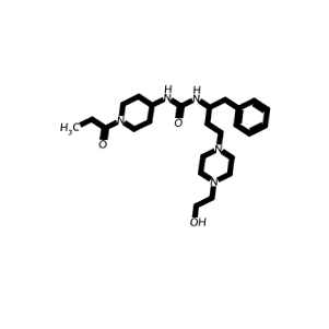 CCC(=O)N1CCC(NC(=O)NC(CCN2CCN(CCO)CC2)Cc2ccccc2)CC1